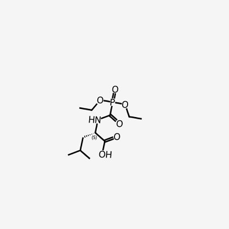 CCOP(=O)(OCC)C(=O)N[C@@H](CC(C)C)C(=O)O